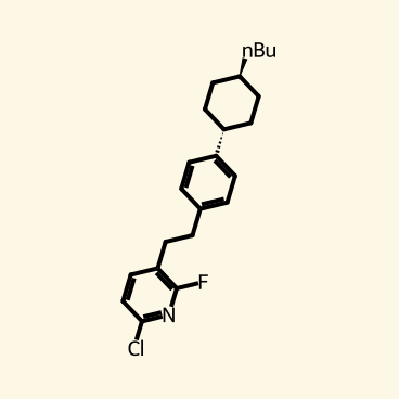 CCCC[C@H]1CC[C@H](c2ccc(CCc3ccc(Cl)nc3F)cc2)CC1